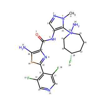 Cn1ncc(NC(=O)c2nc(-c3c(F)cncc3F)sc2N)c1[N+]1(N)CCC[C@H](F)CC1